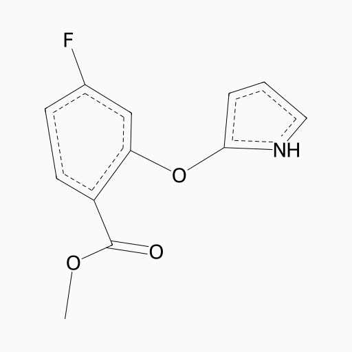 COC(=O)c1ccc(F)cc1Oc1ccc[nH]1